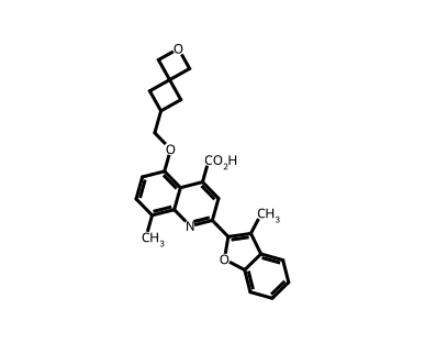 Cc1c(-c2cc(C(=O)O)c3c(OCC4CC5(COC5)C4)ccc(C)c3n2)oc2ccccc12